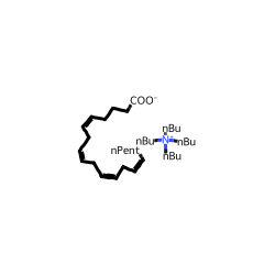 CCCCC/C=C\C/C=C\C/C=C\C/C=C\CCCC(=O)[O-].CCCC[N+](CCCC)(CCCC)CCCC